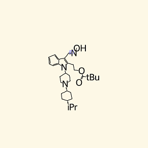 CC(C)[C@H]1CC[C@@H](N2CCC(n3c(CCOC(=O)C(C)(C)C)c(/C=N/O)c4ccccc43)CC2)CC1